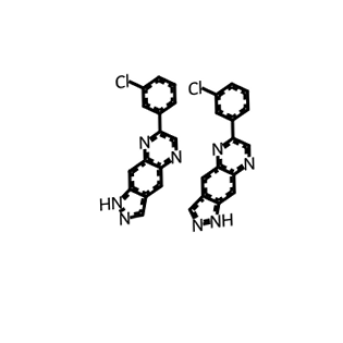 Clc1cccc(-c2cnc3cc4[nH]ncc4cc3n2)c1.Clc1cccc(-c2cnc3cc4cn[nH]c4cc3n2)c1